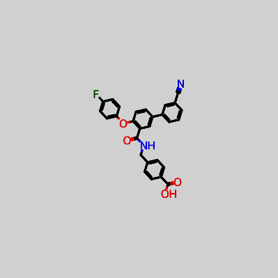 N#Cc1cccc(-c2ccc(Oc3ccc(F)cc3)c(C(=O)NCc3ccc(C(=O)O)cc3)c2)c1